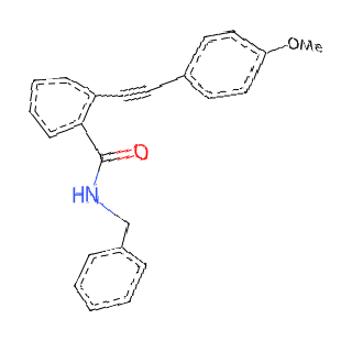 COc1ccc(C#Cc2ccccc2C(=O)NCc2ccccc2)cc1